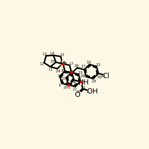 O=C(O)Nc1cccc(CC2C3CCC2CN(Cc2ccccc2)C3)c1Cc1ccc(Cl)cc1